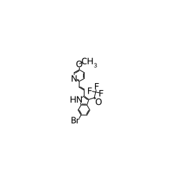 COc1ccc(/C=C/c2[nH]c3cc(Br)ccc3c2C(=O)C(F)(F)F)nc1